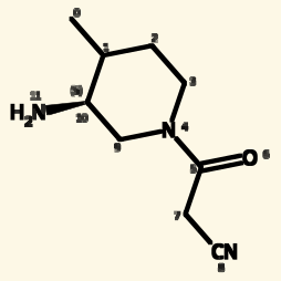 CC1CCN(C(=O)CC#N)C[C@H]1N